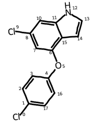 Clc1ccc(Oc2cc(Cl)cc3[nH]ccc23)cc1